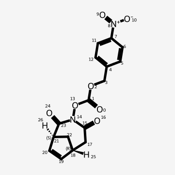 O=C(OCc1ccc([N+](=O)[O-])cc1)ON1C(=O)C[C@@H]2C=C[C@H](C2)C1=O